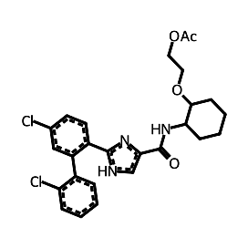 CC(=O)OCCOC1CCCCC1NC(=O)c1c[nH]c(-c2ccc(Cl)cc2-c2ccccc2Cl)n1